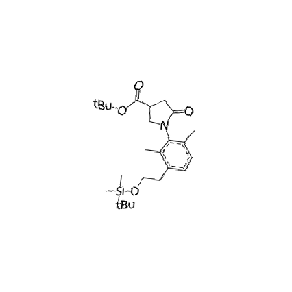 Cc1ccc(CCO[Si](C)(C)C(C)(C)C)c(C)c1N1CC(C(=O)OC(C)(C)C)CC1=O